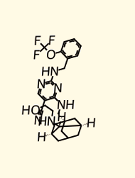 N#Cc1cnc(NCc2ccccc2OC(F)(F)F)nc1NC[C@@]12CC3C[C@H](C1)[C@@H](NCCO)[C@@H](C3)C2